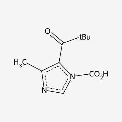 Cc1ncn(C(=O)O)c1C(=O)C(C)(C)C